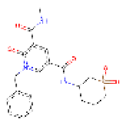 CNC(=O)c1cc(C(=O)NC2CCCS(=O)(=O)C2)cn(Cc2ccccc2)c1=O